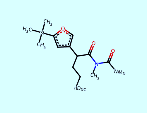 CCCCCCCCCCCCC(C(=O)N(C)C(=O)NC)c1coc([Si](C)(C)C)c1